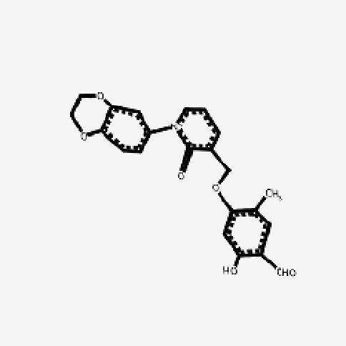 Cc1cc(C=O)c(O)cc1OCc1cccn(-c2ccc3c(c2)OCCO3)c1=O